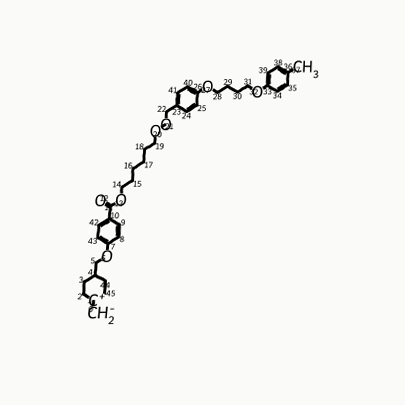 [CH2-][C+]1CCC(COc2ccc(C(=O)OCCCCCCOOCc3ccc(OCCCCOc4ccc(C)cc4)cc3)cc2)CC1